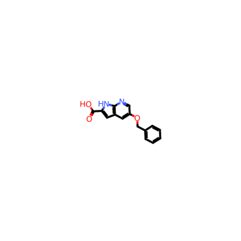 O=C(O)c1cc2cc(OCc3ccccc3)cnc2[nH]1